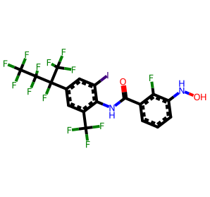 O=C(Nc1c(I)cc(C(F)(C(F)(F)F)C(F)(F)C(F)(F)F)cc1C(F)(F)F)c1cccc(NO)c1F